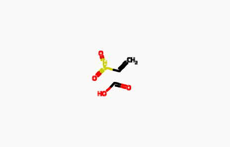 C=C[SH](=O)=O.O=CO